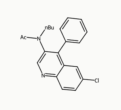 CCCCN(C(C)=O)c1cnc2ccc(Cl)cc2c1-c1ccccc1